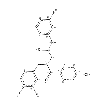 O=C(CN(Cc1ccc(F)c(F)c1)C(=O)c1ccc(Cl)cc1)Nc1cccc(F)c1